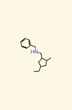 CCC1CC(C)C(CNCc2ccccc2)C1